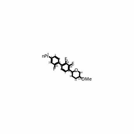 CCCc1ccc(-c2ccc(C3CCC(OC)CO3)c(F)c2F)c(F)c1